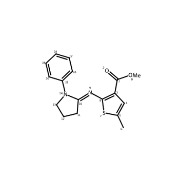 COC(=O)c1cc(C)sc1N=C1CCCN1c1ccccc1